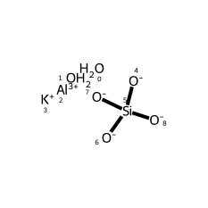 O.O.[Al+3].[K+].[O-][Si]([O-])([O-])[O-]